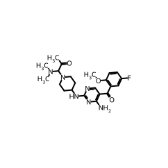 COc1ccc(F)cc1C(=O)c1cnc(NC2CCN(C(C(C)=O)N(C)C)CC2)nc1N